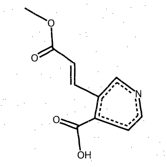 COC(=O)/C=C/c1cnccc1C(=O)O